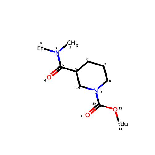 CCN(C)C(=O)C1CCCN(C(=O)OC(C)(C)C)C1